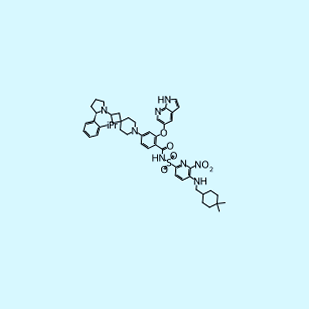 CC(C)c1ccccc1[C@H]1CCCN1C1CC2(CCN(c3ccc(C(=O)NS(=O)(=O)c4ccc(NCC5CCC(C)(C)CC5)c([N+](=O)[O-])n4)c(Oc4cnc5[nH]ccc5c4)c3)CC2)C1